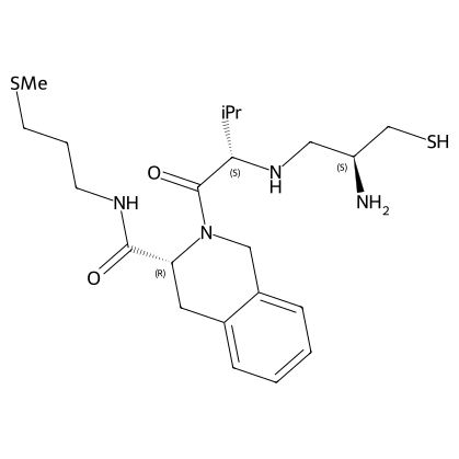 CSCCCNC(=O)[C@H]1Cc2ccccc2CN1C(=O)[C@@H](NC[C@H](N)CS)C(C)C